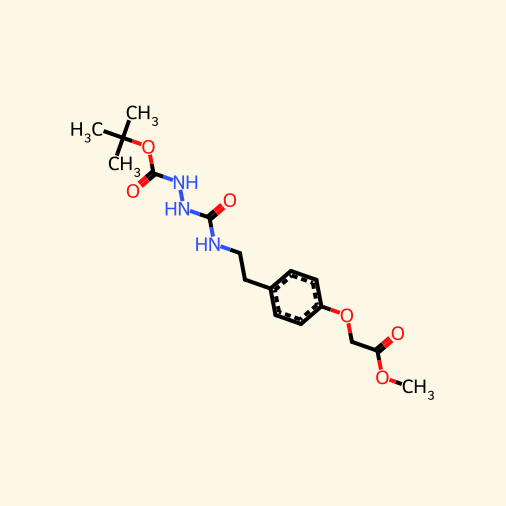 COC(=O)COc1ccc(CCNC(=O)NNC(=O)OC(C)(C)C)cc1